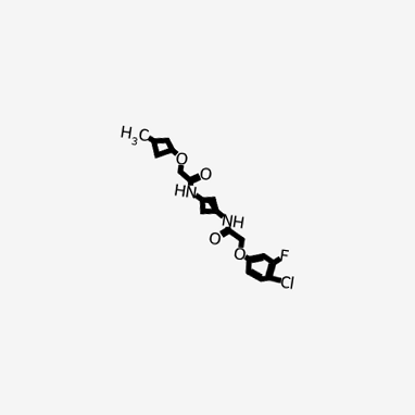 CC1CC(OCC(=O)NC23CC(NC(=O)COc4ccc(Cl)c(F)c4)(C2)C3)C1